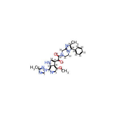 COc1cnc(-n2cnc(C)n2)c2[nH]cc(C(=O)C(=O)N3CCn4c(nc(C)c4-c4ccccc4)C3)c12